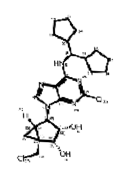 O[C@H]1[C@H](n2cnc3c(NC(C4CCCC4)C4CCCC4)nc(Cl)nc32)[C@H]2C[C@@]2(CCl)[C@H]1O